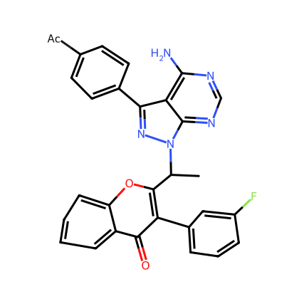 CC(=O)c1ccc(-c2nn(C(C)c3oc4ccccc4c(=O)c3-c3cccc(F)c3)c3ncnc(N)c23)cc1